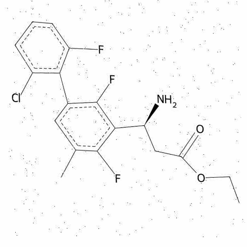 CCOC(=O)C[C@H](N)c1c(F)c(C)cc(-c2c(F)cccc2Cl)c1F